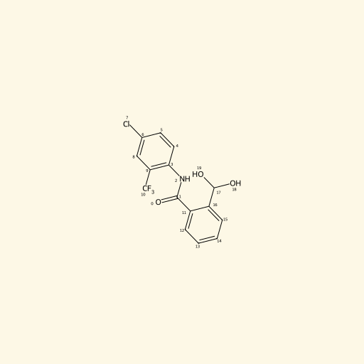 O=C(Nc1ccc(Cl)cc1C(F)(F)F)c1ccccc1C(O)O